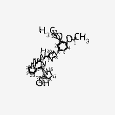 CCOc1ccc(-n2cnc(Nc3nc(N4CCC[C@H]4CO)c4cccn4n3)c2)cc1OCC